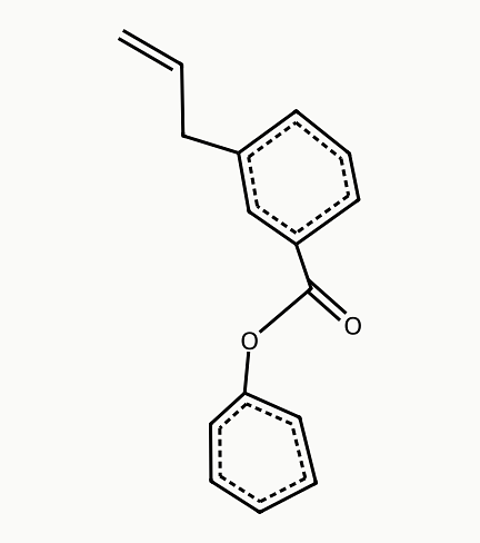 C=CCc1cccc(C(=O)Oc2ccccc2)c1